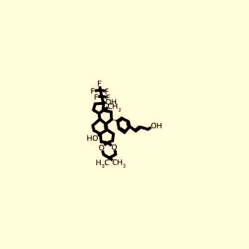 CC1(C)COC2(CCC3=C4C(CCC3(O)C2)C2CCC(O)(C(F)(F)C(F)(F)F)C2(C)C[C@@H]4c2ccc(/C=C/CO)cc2)OC1